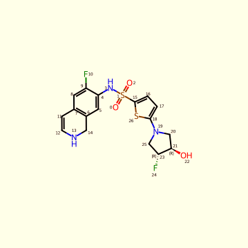 O=S(=O)(Nc1cc2c(cc1F)C=CNC2)c1ccc(N2C[C@@H](O)[C@H](F)C2)s1